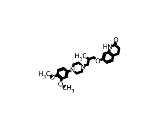 COc1ccc(N2CCN(CC(C)COc3ccc4c(c3)NC(=O)CC4)CC2)cc1OC